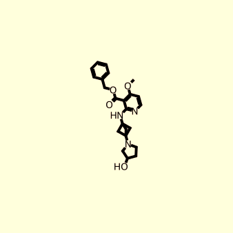 COc1ccnc(NC23CC(N4CCC(O)C4)(C2)C3)c1C(=O)OCc1ccccc1